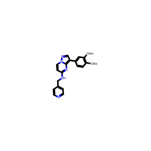 COc1ccc(-c2cnn3ccc(NCc4ccncc4)nc23)cc1OC